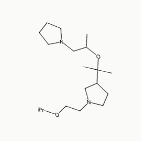 CC(C)OCCN1CCC(C(C)(C)OC(C)CN2CCCC2)C1